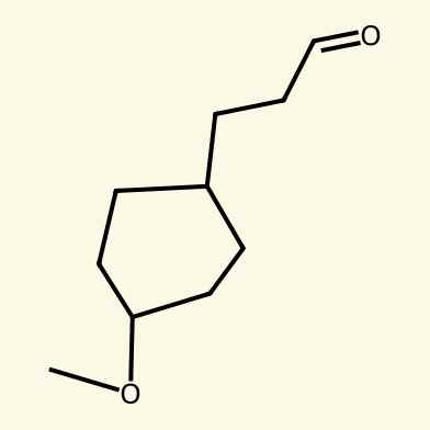 COC1CCC(CCC=O)CC1